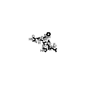 CC(C)C[C@H](N)C1=NC[C@@](C[C@@H]2CCNC2=O)(C(=O)C(O)N(CC(C)C[C@H](NC(=O)c2nc3ccccc3[nH]2)C2=NC[C@](C#N)(C[C@@H]3CCNC3=O)N2)C(C)C)N1